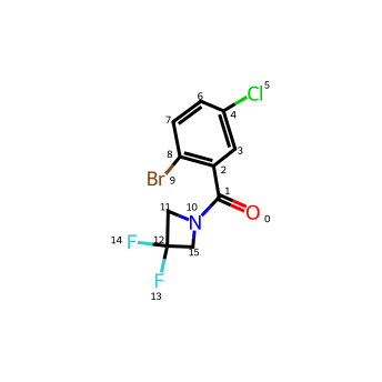 O=C(c1cc(Cl)ccc1Br)N1CC(F)(F)C1